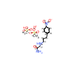 CS(=O)(=O)O.CS(=O)(=O)O.NC(=O)CNCCCc1ccc([N+](=O)[O-])cc1